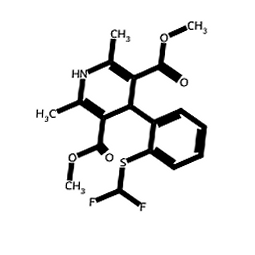 COC(=O)C1=C(C)NC(C)=C(C(=O)OC)C1c1ccccc1SC(F)F